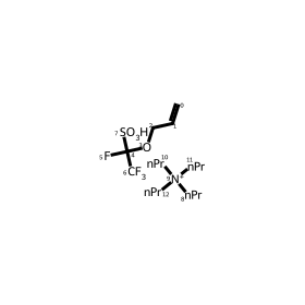 C=CCOC(F)(C(F)(F)F)S(=O)(=O)O.CCC[N+](CCC)(CCC)CCC